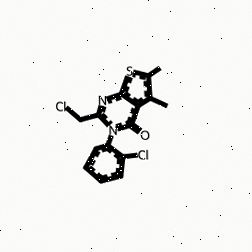 Cc1sc2nc(CCl)n(-c3ccccc3Cl)c(=O)c2c1C